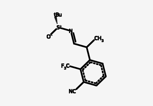 CC(/C=N/[S@+]([O-])C(C)(C)C)c1cccc(C#N)c1C(F)(F)F